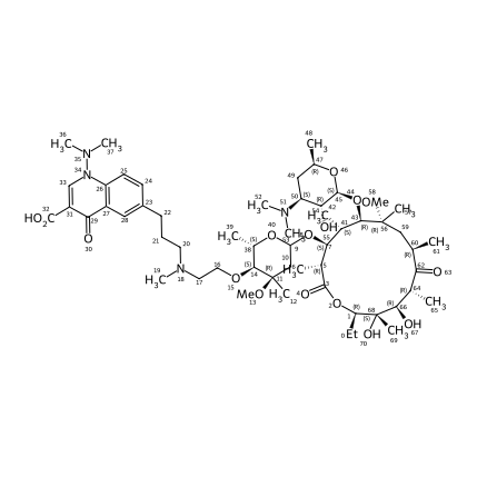 CC[C@H]1OC(=O)[C@H](C)[C@@H](OC2C[C@@](C)(OC)[C@@H](OCCN(C)CCCc3ccc4c(c3)c(=O)c(C(=O)O)cn4N(C)C)[C@H](C)O2)[C@H](C)[C@@H](O[C@@H]2O[C@H](C)C[C@H](N(C)C)[C@H]2O)[C@](C)(OC)C[C@@H](C)C(=O)[C@H](C)[C@@H](O)[C@]1(C)O